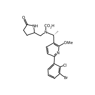 COc1nc(-c2cccc(Br)c2Cl)ccc1[C@@H](C)N(CC1CCC(=O)N1)C(=O)O